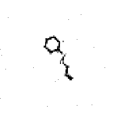 C=CCOSC1CCCCC1